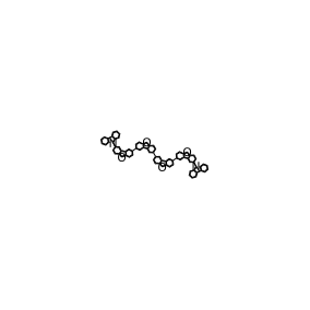 c1ccc2c(c1)c1ccccc1n2-c1ccc2oc3ccc(-c4ccc5oc6ccc(-c7ccc8oc9ccc(-c%10ccc%11oc%12ccc(-n%13c%14ccccc%14c%14ccccc%14%13)cc%12c%11c%10)cc9c8c7)cc6c5c4)cc3c2c1